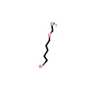 CCOCCCCCBr